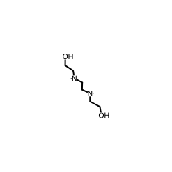 OCC[N]CC[N]CCO